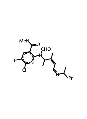 CNC(=O)c1cc(F)c(Cl)nc1N(C=O)C(C)/C(C)=C\C=N/C(C)C(C)C